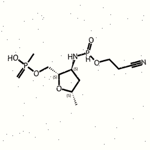 C=P(C)(O)OC[C@H]1O[C@@H](C)C[C@@H]1N[PH](=O)OCCC#N